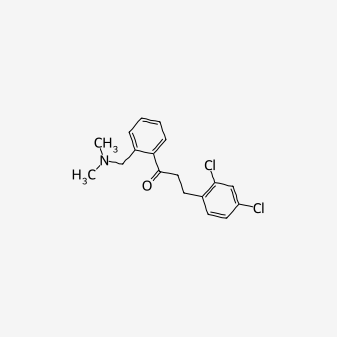 CN(C)Cc1ccccc1C(=O)CCc1ccc(Cl)cc1Cl